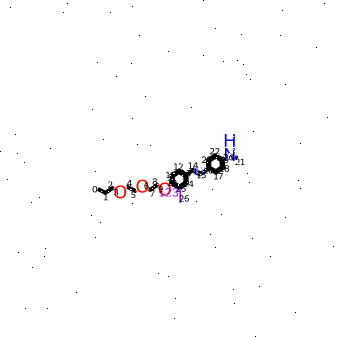 CCCOCCOCCOc1ccc(/C=C/c2ccc(NC)cc2)cc1[123I]